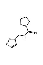 N=C(NCc1ccoc1)N1C[CH]CC1